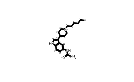 CCCCCCN1CC=C(c2c[nH]c3ccc(NC(N)=S)cc23)CC1